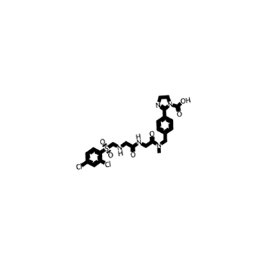 CN(Cc1ccc(C2=NCCN2C(=O)O)cc1)C(=O)CNC(=O)CNCS(=O)(=O)c1ccc(Cl)cc1Cl